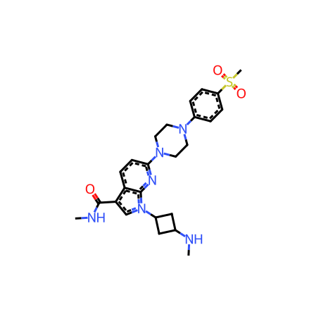 CNC(=O)c1cn(C2CC(NC)C2)c2nc(N3CCN(c4ccc(S(C)(=O)=O)cc4)CC3)ccc12